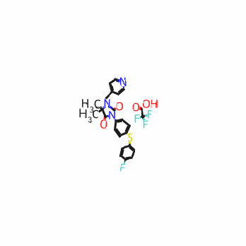 CC1(C)C(=O)N(c2ccc(Sc3ccc(F)cc3)cc2)C(=O)N1Cc1ccncc1.O=C(O)C(F)(F)F